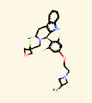 C[C@@H]1Cc2c([nH]c3ccccc23)[C@@H](c2c(F)cc(OCCN3CC(C(F)(F)F)C3)cc2F)N1CC1(F)COC1